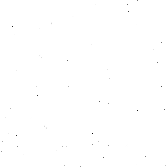 O=P(O)(O)CCCNCc1ccc(OCCCCCc2ccccc2)c(-c2ncco2)c1